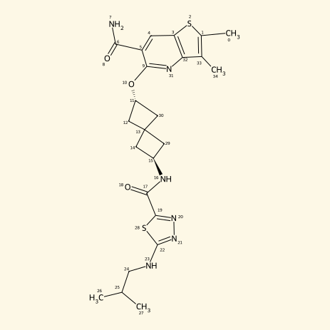 Cc1sc2cc(C(N)=O)c(O[C@H]3CC4(C[C@H](NC(=O)c5nnc(NCC(C)C)s5)C4)C3)nc2c1C